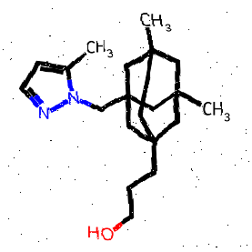 Cc1ccnn1CC12CC3(C)CC(C)(CC(CCCO)(C3)C1)C2